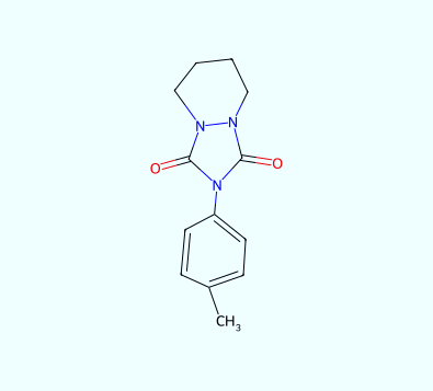 Cc1ccc(-n2c(=O)n3n(c2=O)CCCC3)cc1